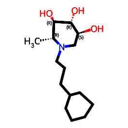 C[C@@H]1[C@@H](O)[C@H](O)[C@@H](O)CN1CCCC1CCCCC1